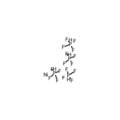 F[PH](F)(F)F.F[PH](F)(F)F.F[PH](F)(F)F.F[PH](F)(F)F.[Ni]